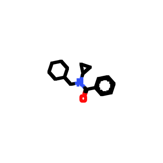 O=C(c1ccccc1)N(CC1CCCCC1)C1CC1